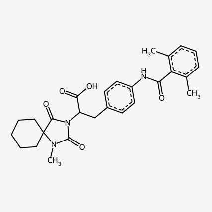 Cc1cccc(C)c1C(=O)Nc1ccc(CC(C(=O)O)N2C(=O)N(C)C3(CCCCC3)C2=O)cc1